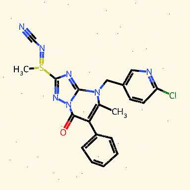 Cc1c(-c2ccccc2)c(=O)n2nc(/S(C)=N/C#N)nc2n1Cc1ccc(Cl)nc1